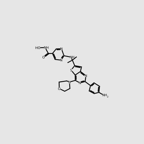 CC(C)(Nc1ncc(C(=O)NO)cn1)c1cc2nc(-c3ccc(N)cc3)nc(N3CCOCC3)c2s1